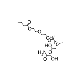 CC(=O)N1CC1C.CC(=O)O.CCCC(=O)OCCOCCO.NC(=O)CO